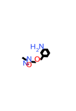 Cc1noc(COCc2cccc(N)c2)n1